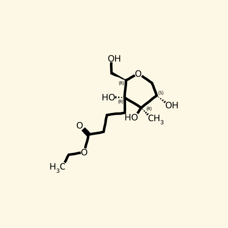 CCOC(=O)CCC[C@@]1(O)[C@@H](CO)OC[C@H](O)[C@@]1(C)O